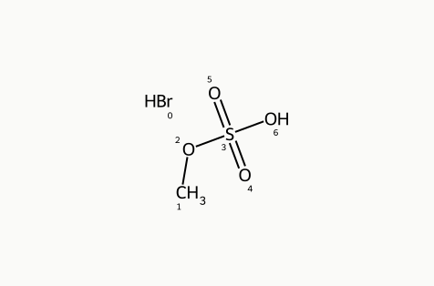 Br.COS(=O)(=O)O